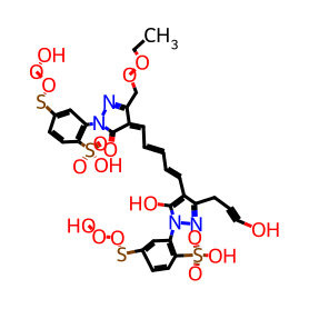 CCOOCC1=NN(c2cc(SOOO)ccc2S(=O)(=O)O)C(=O)/C1=C\C=CC=Cc1c(CC#CO)nn(-c2cc(SOOO)ccc2S(=O)(=O)O)c1O